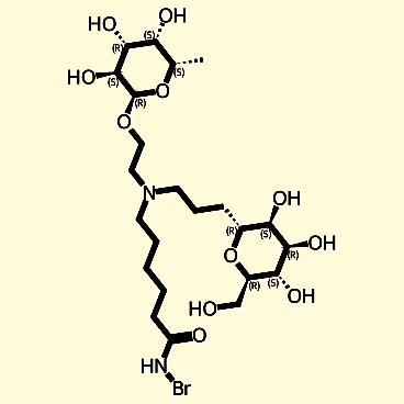 C[C@@H]1O[C@@H](OCCN(CCCCCC(=O)NBr)CCC[C@H]2O[C@H](CO)[C@@H](O)[C@H](O)[C@@H]2O)[C@@H](O)[C@H](O)[C@@H]1O